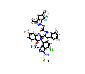 CSNc1nn(C)c2c(-n3c(C(Cc4cc(F)cc(F)c4)NC(=O)Cn4nc(C(F)F)c5c4C(F)(F)C(C)C5)nc4cc(Br)ccc4c3=O)ccc(Cl)c12